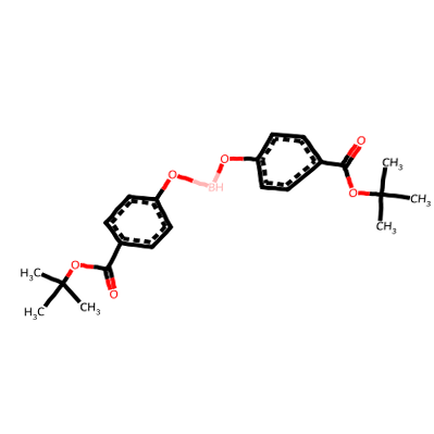 CC(C)(C)OC(=O)c1ccc(OBOc2ccc(C(=O)OC(C)(C)C)cc2)cc1